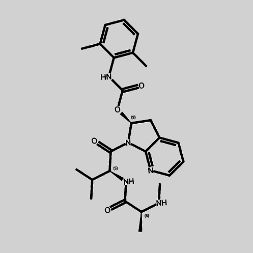 CN[C@@H](C)C(=O)N[C@H](C(=O)N1c2ncccc2C[C@@H]1OC(=O)Nc1c(C)cccc1C)C(C)C